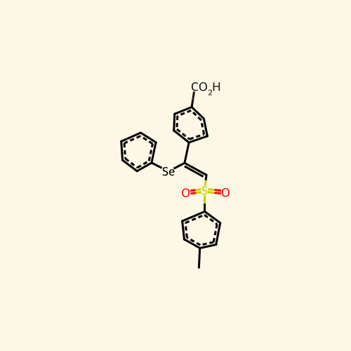 Cc1ccc(S(=O)(=O)C=C([Se]c2ccccc2)c2ccc(C(=O)O)cc2)cc1